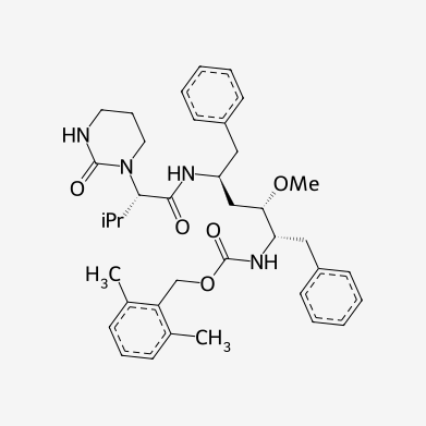 CO[C@@H](C[C@H](Cc1ccccc1)NC(=O)[C@H](C(C)C)N1CCCNC1=O)[C@H](Cc1ccccc1)NC(=O)OCc1c(C)cccc1C